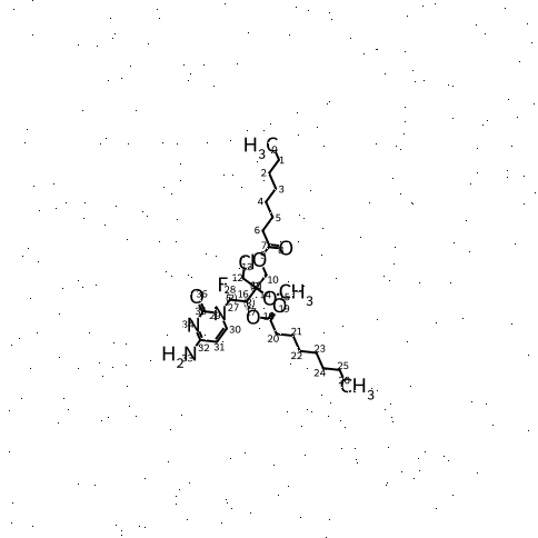 CCCCCCCC(=O)OC[C@@](CCl)(OC)[C@@H](OC(=O)CCCCCCC)[C@@H](F)n1ccc(N)nc1=O